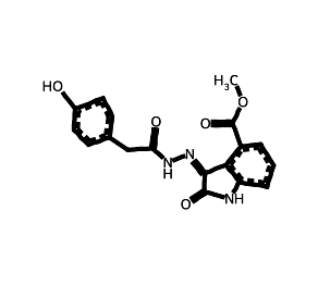 COC(=O)c1cccc2c1/C(=N/NC(=O)Cc1ccc(O)cc1)C(=O)N2